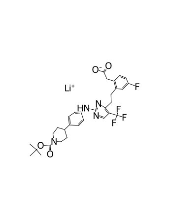 CC(C)(C)OC(=O)N1CCC(c2ccc(Nc3ncc(C(F)(F)F)c(CCc4cc(F)ccc4CC(=O)[O-])n3)cc2)CC1.[Li+]